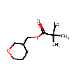 CCC(C)(C)C(=O)OCC1CCCOC1